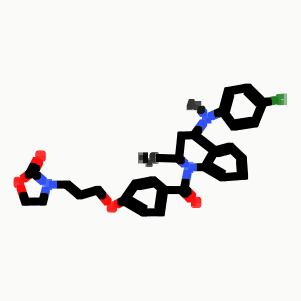 CC(=O)N(c1ccc(Cl)cc1)C1CC(C)N(C(=O)c2ccc(OCCCN3CCOC3=O)cc2)c2ccccc21